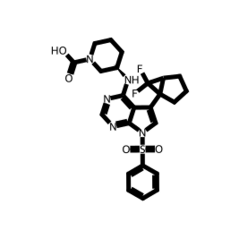 O=C(O)N1CCC[C@@H](Nc2ncnc3c2c(C24CCCC2C4(F)F)cn3S(=O)(=O)c2ccccc2)C1